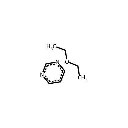 CCOCC.c1cncnc1